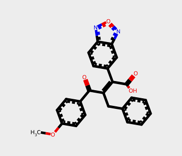 COc1ccc(C(=O)C(Cc2ccccc2)=C(C(=O)O)c2ccc3nonc3c2)cc1